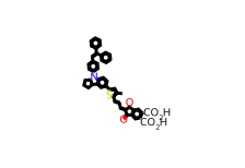 Cc1cc(-c2ccc3c(c2)C2CCCC2N3c2ccc(C=C(c3ccccc3)c3ccccc3)cc2)sc1/C=C/C=C1C(=O)c2cc(C(=O)O)c(C(=O)O)cc2C1=O